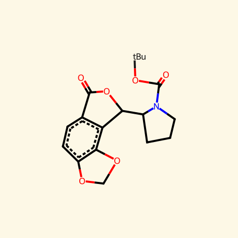 CC(C)(C)OC(=O)N1CCCC1C1OC(=O)c2ccc3c(c21)OCO3